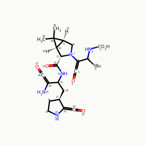 CC(C)(C)C(NC(=O)O)C(=C=O)N1C[C@H]2[C@@H]([C@H]1C(=O)NC(C[C@@H]1CCNC1=C=O)C(N)=C=O)C2(C)C